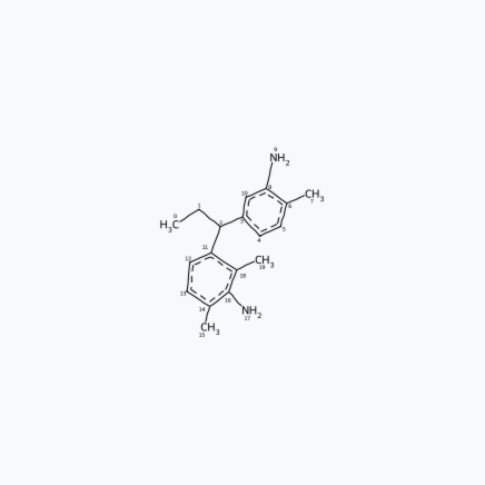 CCC(c1ccc(C)c(N)c1)c1ccc(C)c(N)c1C